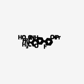 CC(C)Oc1ccc(F)c(-c2ccc3c(c2)OCC(C)(C)C3NC(=O)O)c1